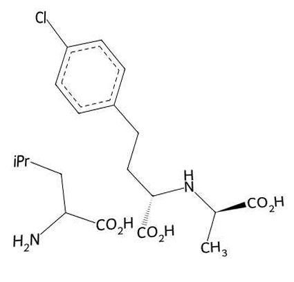 CC(C)CC(N)C(=O)O.C[C@@H](N[C@@H](CCc1ccc(Cl)cc1)C(=O)O)C(=O)O